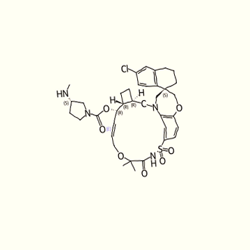 CN[C@H]1CCN(C(=O)O[C@H]2/C=C/COC(C)(C)C(=O)NS(=O)(=O)c3ccc4c(c3)N(C[C@@H]3CC[C@H]32)C[C@@]2(CCCc3cc(Cl)ccc32)CO4)C1